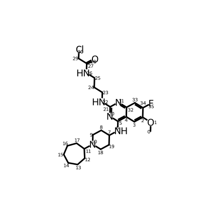 COc1cc2c(NC3CCN(C4CCCCCC4)CC3)nc(NCCCNC(=O)CCl)nc2cc1F